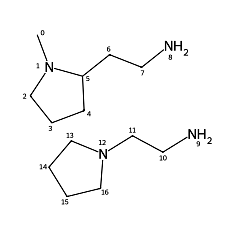 CN1CCCC1CCN.NCCN1CCCC1